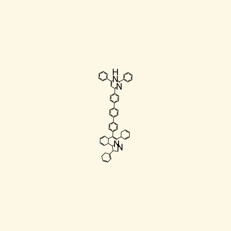 C1=CCCC(C2C=NN3C(C4C=CC=CC4)=C(c4ccc(-c5ccc(-c6ccc(C7=NC(c8ccccc8)NC(c8ccccc8)=C7)cc6)cc5)cc4)C4C=CC=CC4C23)=C1